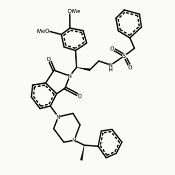 COc1ccc([C@@H](CCNS(=O)(=O)Cc2ccccc2)N2C(=O)c3cccc(N4CCN([C@H](C)c5ccccc5)CC4)c3C2=O)cc1OC